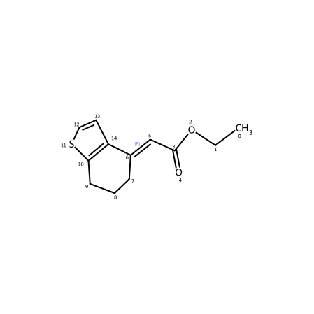 CCOC(=O)/C=C1\CCCc2sccc21